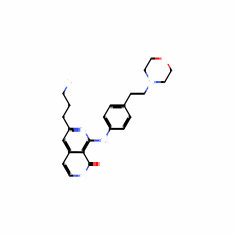 NCCCc1cc2cc[nH]c(=O)c2c(Nc2ccc(CCN3CCOCC3)cc2)n1